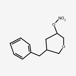 O=[N+]([O-])OC1COCC(Cc2ccccc2)C1